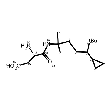 CC(C)(CCC(C1CC1)C(C)(C)C)NC(=O)[C@@H](N)CC(=O)O